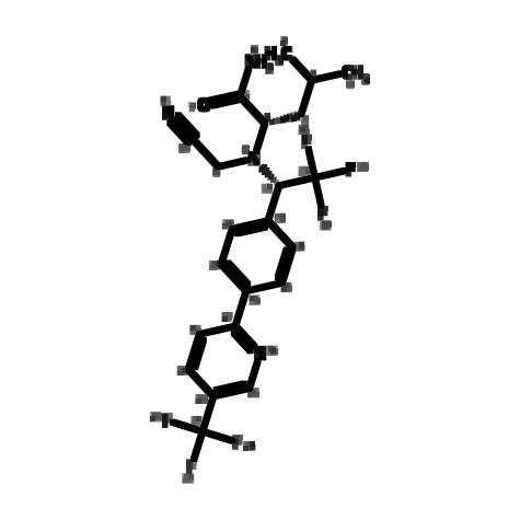 CC(C)C[C@@H](C(N)=O)N(CC#N)[C@@H](c1ccc(-c2ccc(C(F)(F)F)cn2)cc1)C(F)(F)F